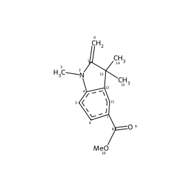 C=C1N(C)c2ccc(C(=O)OC)cc2C1(C)C